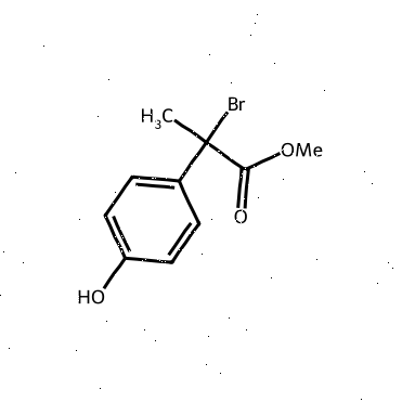 COC(=O)C(C)(Br)c1ccc(O)cc1